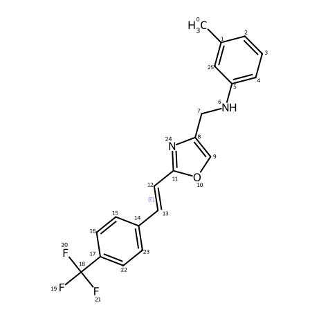 Cc1cccc(NCc2coc(/C=C/c3ccc(C(F)(F)F)cc3)n2)c1